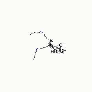 CCCCCCCC/C=C\CCCCCCCC(=O)OC[C@H](CO[C@@H]1O[C@H](CO)[C@H](O)[C@H](O)[C@H]1O)OC(=O)CCCCCCC/C=C\CCCCCCCC